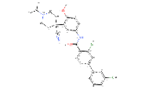 COc1ccc(NC(=O)c2ccc(-c3cccc(Cl)c3)cc2Cl)cc1C1(C#N)CCN(C(C)C)CC1